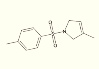 CC1=CCN(S(=O)(=O)c2ccc(C)cc2)C1